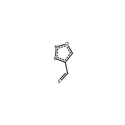 S=[C]c1conn1